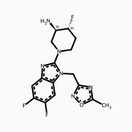 Cc1nc(Cn2c(N3CC[C@@H](F)[C@H](N)C3)nc3cc(F)c(F)cc32)no1